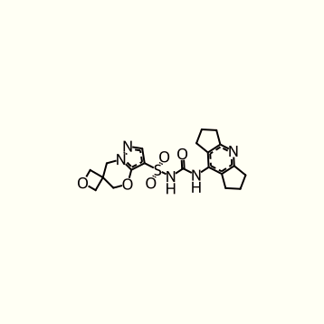 O=C(Nc1c2c(nc3c1CCC3)CCC2)NS(=O)(=O)c1cnn2c1OCC1(COC1)C2